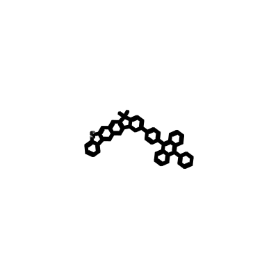 CC1(C)C2=CC=C(c3ccc(-c4c5ccccc5c(C5=CC=CCC5)c5ccccc45)cc3)CC2c2cc3cc4c(cc3cc21)sc1ccccc14